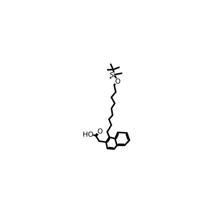 CC(C)(C)[Si](C)(C)OCCCCCCCCCc1c(CC(=O)O)ccc2ccccc12